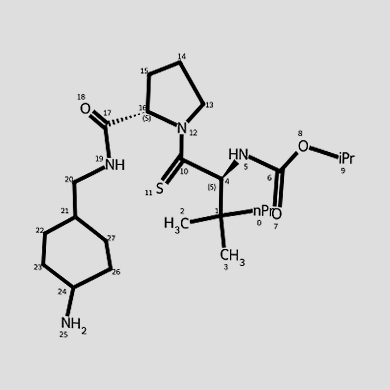 CCCC(C)(C)[C@H](NC(=O)OC(C)C)C(=S)N1CCC[C@H]1C(=O)NCC1CCC(N)CC1